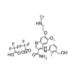 COc1cc2c(Nc3cccc(CO)c3C)c(C(N)=O)cnc2cc1OCCNC1CC1.O=C(O)C(F)(F)F.O=C(O)C(F)(F)F